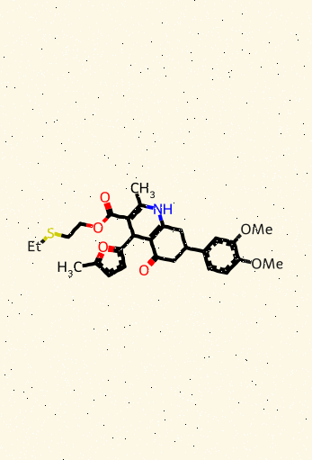 CCSCCOC(=O)C1=C(C)NC2=C(C(=O)CC(c3ccc(OC)c(OC)c3)C2)C1c1ccc(C)o1